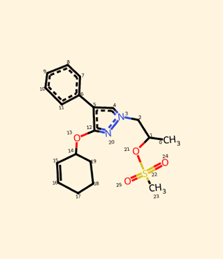 CC(Cn1cc(-c2ccccc2)c(OC2C=CCCC2)n1)OS(C)(=O)=O